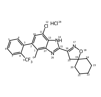 Cc1c(-c2ccccc2C(F)(F)F)cc(Cl)c2[nH]c(C3=NOC4(CCCCC4)C3)nc12.Cl